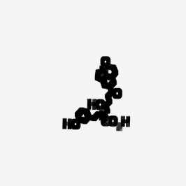 O=C(CCC(O)CN(CCc1cccc(O)c1)C(=O)O)c1cc2c3c(c1)CCN3C(=O)CC2